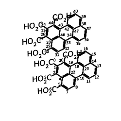 O=C(O)c1c(C(=O)O)c2c(C(=O)O)ccc3c4cccc5cccc(c(c1C(=O)O)c23)c54.O=C(O)c1c(C(=O)O)c2c(C(=O)O)ccc3c4cccc5cccc(c(c1C(=O)O)c23)c54